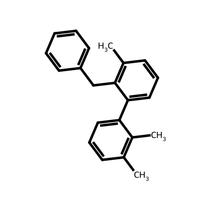 Cc1cccc(-c2cccc(C)c2Cc2ccccc2)c1C